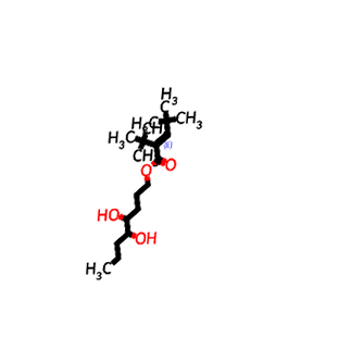 CCCC(O)C(O)CCCOC(=O)/C(=C/C(C)(C)C)C(C)(C)C